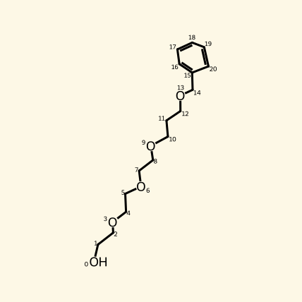 OCCOCCOCCOCCCOCc1ccccc1